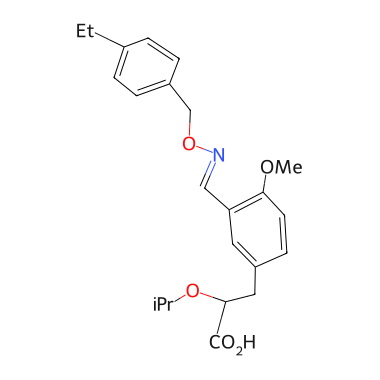 CCc1ccc(CON=Cc2cc(CC(OC(C)C)C(=O)O)ccc2OC)cc1